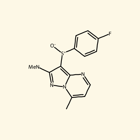 CNc1nn2c(C)ccnc2c1[S+]([O-])c1ccc(F)cc1